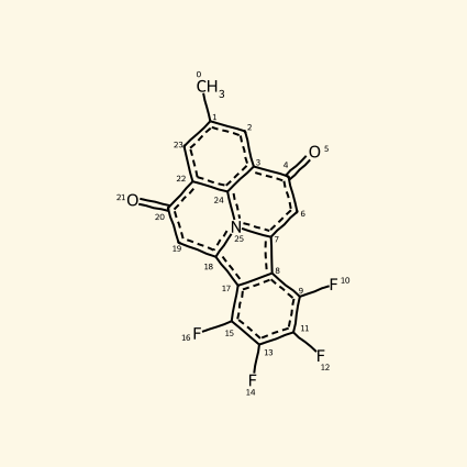 Cc1cc2c(=O)cc3c4c(F)c(F)c(F)c(F)c4c4cc(=O)c(c1)c2n34